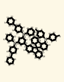 Cc1ccc(N(c2ccc(C)cc2)c2cccc3c2-c2ccccc2C32c3ccccc3-c3ccc(-c4cc(N(c5ccccc5)c5ccc(-c6ccccc6)cc5)cc(N(c5ccccc5)c5ccc(-c6ccccc6)cc5)c4)cc32)cc1